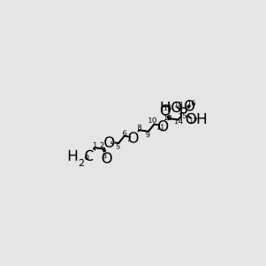 C=CC(=O)OCCOCCCOC(=O)CP(=O)(O)O